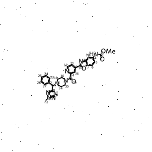 COC(=O)Nc1ccc2oc(-c3ccnc(C(=O)N4CCN(C(c5ccccc5)c5nnn(C)n5)CC4)c3)nc2c1